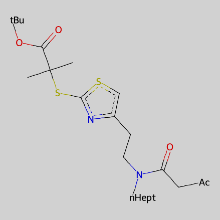 CCCCCCCN(CCc1csc(SC(C)(C)C(=O)OC(C)(C)C)n1)C(=O)CC(C)=O